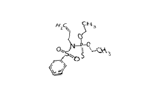 C=CCN(P(=S)(OCC)OCC)S(=O)(=O)c1ccccc1